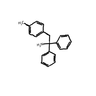 Cc1ccc(CC(N)(c2ccccc2)c2ccccc2)cc1